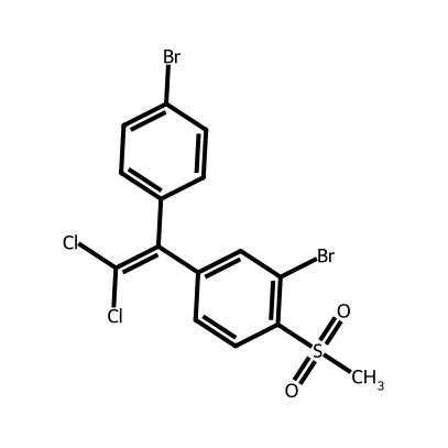 CS(=O)(=O)c1ccc(C(=C(Cl)Cl)c2ccc(Br)cc2)cc1Br